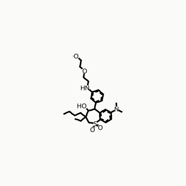 CCCCC1(CC)CS(=O)(=O)c2ccc(N(C)C)cc2C(c2cccc(NCCOCC[O])c2)C1O